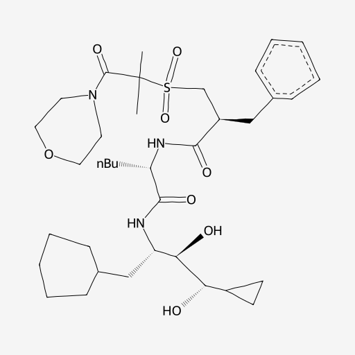 CCCC[C@H](NC(=O)[C@H](Cc1ccccc1)CS(=O)(=O)C(C)(C)C(=O)N1CCOCC1)C(=O)N[C@@H](CC1CCCCC1)[C@@H](O)[C@@H](O)C1CC1